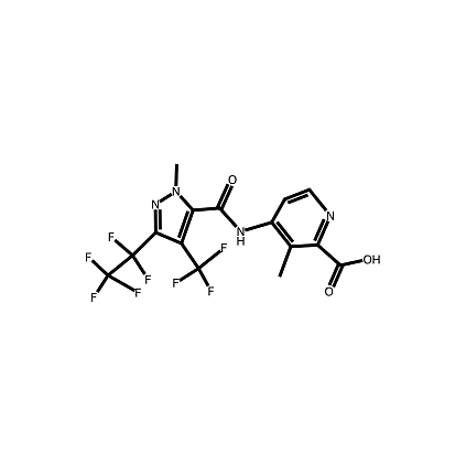 Cc1c(NC(=O)c2c(C(F)(F)F)c(C(F)(F)C(F)(F)F)nn2C)ccnc1C(=O)O